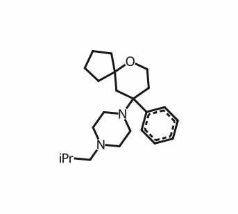 CC(C)CN1CCN(C2(c3ccccc3)CCOC3(CCCC3)C2)CC1